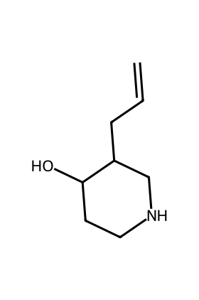 C=CCC1CNCCC1O